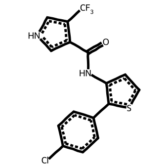 O=C(Nc1ccsc1-c1ccc(Cl)cc1)c1c[nH]cc1C(F)(F)F